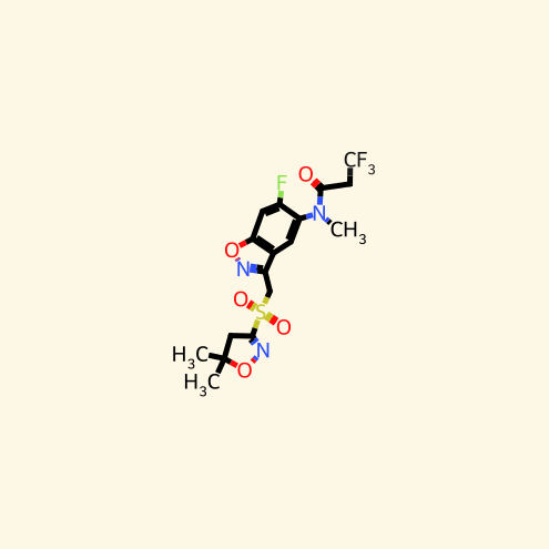 CN(C(=O)CC(F)(F)F)c1cc2c(CS(=O)(=O)C3=NOC(C)(C)C3)noc2cc1F